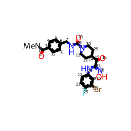 CNC(=O)c1ccc(CNC(=O)N2CCC(C(=O)/C(=N/O)Nc3ccc(F)c(Br)c3)CC2)cc1